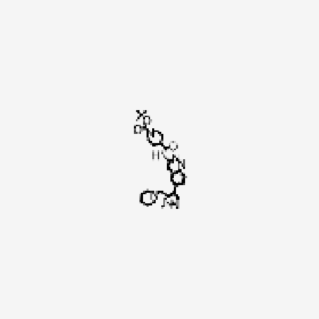 Cn1ncc(-c2ccc3nnc(NC(=O)C4CCN(C(=O)OC(C)(C)C)CC4)cc3c2)c1CN1CCCCC1